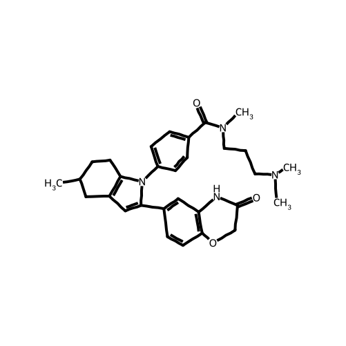 CC1CCc2c(cc(-c3ccc4c(c3)NC(=O)CO4)n2-c2ccc(C(=O)N(C)CCCN(C)C)cc2)C1